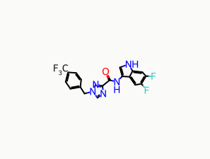 O=C(Nc1c[nH]c2cc(F)c(F)cc12)c1ncn(Cc2ccc(C(F)(F)F)cc2)n1